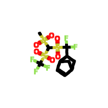 CS(=O)(=O)C(S(=O)(=O)C(F)(F)F)S(=O)(=O)C(F)(F)C1CC2C=CC1C2